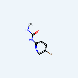 CNC(=O)Nc1ccc(Br)cn1